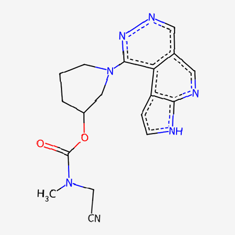 CN(CC#N)C(=O)OC1CCCN(c2nncc3cnc4[nH]ccc4c23)C1